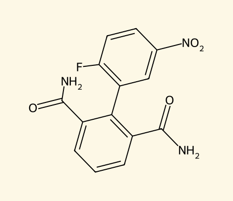 NC(=O)c1cccc(C(N)=O)c1-c1cc([N+](=O)[O-])ccc1F